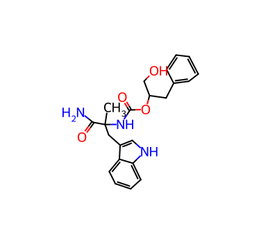 CC(Cc1c[nH]c2ccccc12)(NC(=O)OC(CO)Cc1ccccc1)C(N)=O